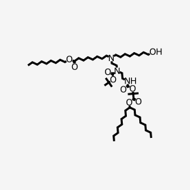 CCCCCCCCCOC(=O)CCCCCCCN(CCCCCCCCO)CCN(CCNC(=O)OC(C)(C)C(=O)OC(CCCCCCCC)CCCCCCCC)C(=O)OC(C)(C)C